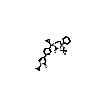 CC(C)(O)C[C@]1(c2ccccc2)CCN(C(c2ccc(-c3ccn(C4CC4)c(=O)c3)cc2)C2CC2)C(=O)O1